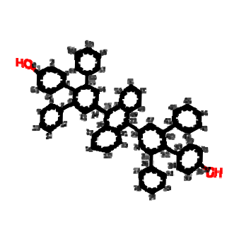 Oc1ccc(-c2c(-c3ccccc3)cc(-c3c4ccccc4c(-c4cc(-c5ccccc5)c(-c5ccc(O)cc5)c(-c5ccccc5)c4)c4ccccc34)cc2-c2ccccc2)cc1